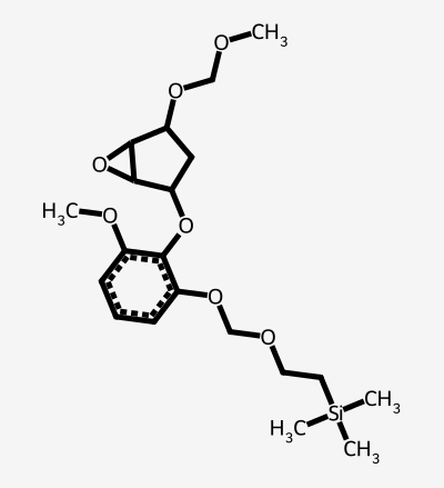 COCOC1CC(Oc2c(OC)cccc2OCOCC[Si](C)(C)C)C2OC12